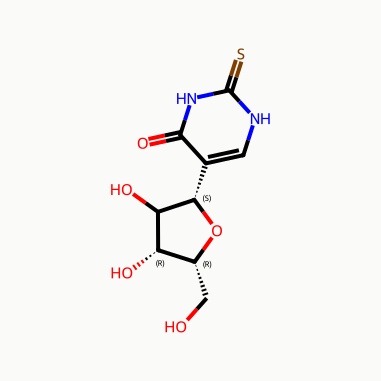 O=c1[nH]c(=S)[nH]cc1[C@@H]1O[C@H](CO)[C@H](O)C1O